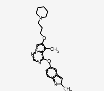 Cc1c(OCCCN2CCCCC2)cn2ncnc(Oc3ccc4c(c3)=CC(C)N=4)c12